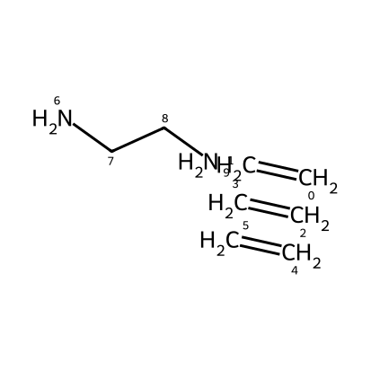 C=C.C=C.C=C.NCCN